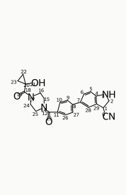 N#CC1CNc2ccc(-c3ccc(C(=O)N4CCN(C(=O)C5(O)CC5)CC4)cc3)cc21